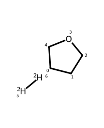 C1CCOC1.[2H][2H]